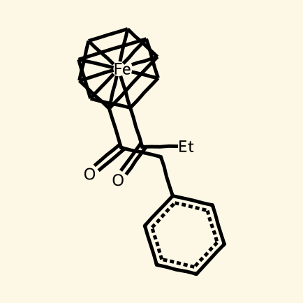 CCC(=O)[C]12[CH]3[CH]4[CH]5[CH]1[Fe]45321678[CH]2[CH]1[CH]6[C]7(C(=O)Cc1ccccc1)[CH]28